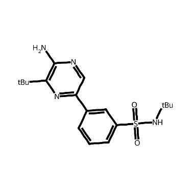 CC(C)(C)NS(=O)(=O)c1cccc(-c2cnc(N)c(C(C)(C)C)n2)c1